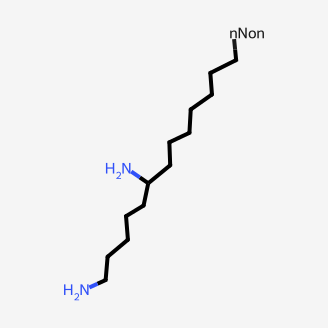 CCCCCCCCCCCCCCCCC(N)CCCCCN